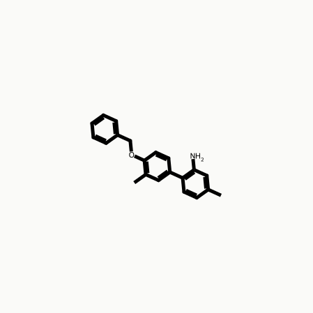 Cc1ccc(-c2ccc(OCc3ccccc3)c(C)c2)c(N)c1